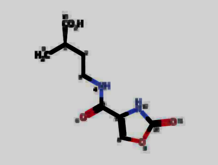 C[C@H](CCNC(=O)c1coc(=O)[nH]1)C(=O)O